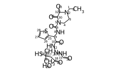 CCN1CCN(C(=O)NC(C(=O)NN(NC=O)[C@H](C(=O)O)C(C)(C)S)c2cccs2)C(=O)C1=O